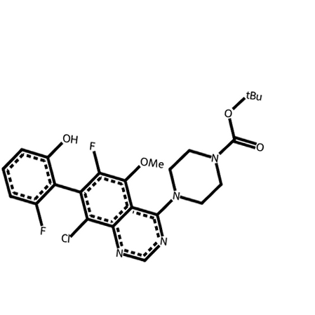 COc1c(F)c(-c2c(O)cccc2F)c(Cl)c2ncnc(N3CCN(C(=O)OC(C)(C)C)CC3)c12